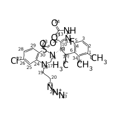 Cc1ccc(F)c([C@@H](C)[C@@H](c2n[nH]c(=O)o2)N2CN(CCN=[N+]=[N-])c3cc(Cl)ccc3S2(=O)=O)c1C